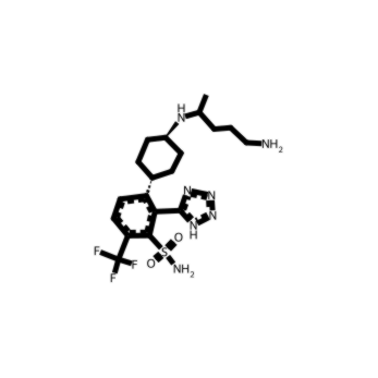 CC(CCCN)N[C@H]1CC[C@H](c2ccc(C(F)(F)F)c(S(N)(=O)=O)c2-c2nnn[nH]2)CC1